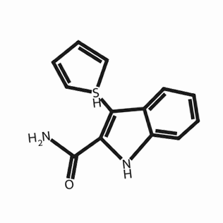 NC(=O)c1[nH]c2ccccc2c1[SH]1C=CC=C1